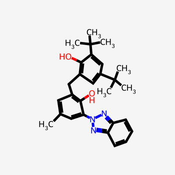 Cc1cc(Cc2cc(C(C)(C)C)cc(C(C)(C)C)c2O)c(O)c(-n2nc3ccccc3n2)c1